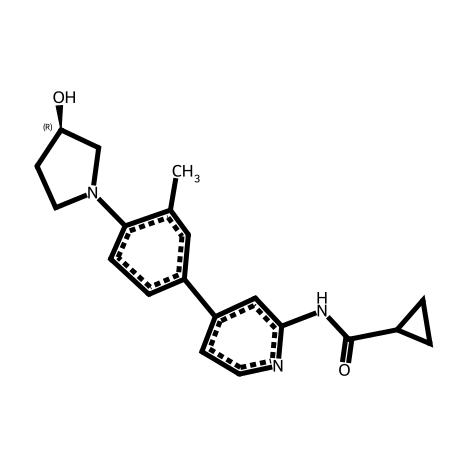 Cc1cc(-c2ccnc(NC(=O)C3CC3)c2)ccc1N1CC[C@@H](O)C1